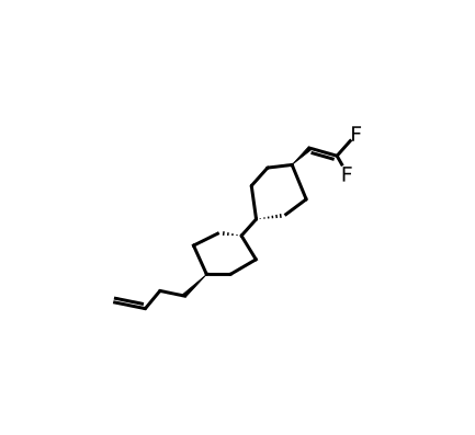 C=CCC[C@H]1CC[C@H]([C@H]2CC[C@H](C=C(F)F)CC2)CC1